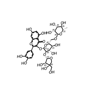 C[C@@H]1O[C@@H](OC[C@H]2O[C@@H](Oc3c(-c4ccc(O)c(O)c4)oc4cc(O)cc(O)c4c3=O)[C@H](O[C@@H]3OC[C@](O)(CO)[C@H]3O)[C@@H](O)[C@@H]2O)[C@H](O)[C@H](O)[C@H]1O